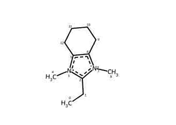 CCc1n(C)c2c([n+]1C)CCCC2